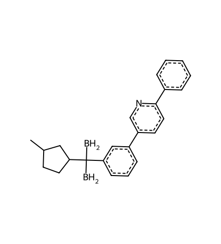 BC(B)(c1cccc(-c2ccc(-c3ccccc3)nc2)c1)C1CCC(C)C1